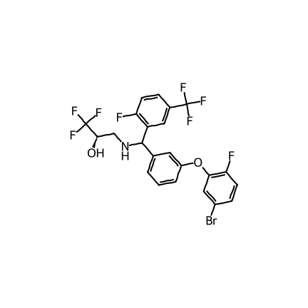 O[C@H](CNC(c1cccc(Oc2cc(Br)ccc2F)c1)c1cc(C(F)(F)F)ccc1F)C(F)(F)F